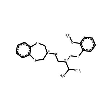 COc1ccccc1SC[C@@H](CN[C@@H]1COc2ccccc2SC1)C(C)C